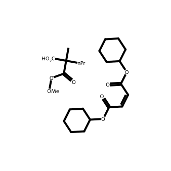 CCCC(C)(C(=O)O)C(=O)OOC.O=C(/C=C\C(=O)OC1CCCCC1)OC1CCCCC1